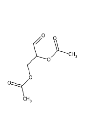 CC(=O)OCC([C]=O)OC(C)=O